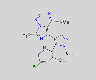 CNc1ncnn2c(C)nc(-c3cnn(C)c3-c3ncc(Br)cc3C)c12